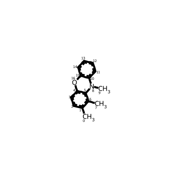 Cc1ccc2c(c1C)N(C)c1ccccc1O2